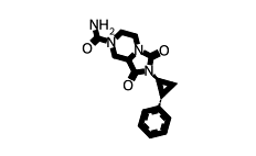 NC(=O)N1CCN2C(=O)N([C@H]3C[C@@H]3c3ccccc3)C(=O)C2C1